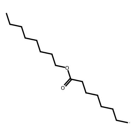 [CH2]CCCCCCC(=O)OCCCCCCCC